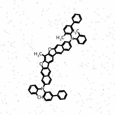 Cc1ccccc1N(c1cccc(-c2ccccc2)c1)c1ccc2cc3c(cc2c1)oc1c(C)c2oc4cc5cc(N(c6ccccc6C)c6cc(-c7ccccc7)ccc6C)ccc5cc4c2cc13